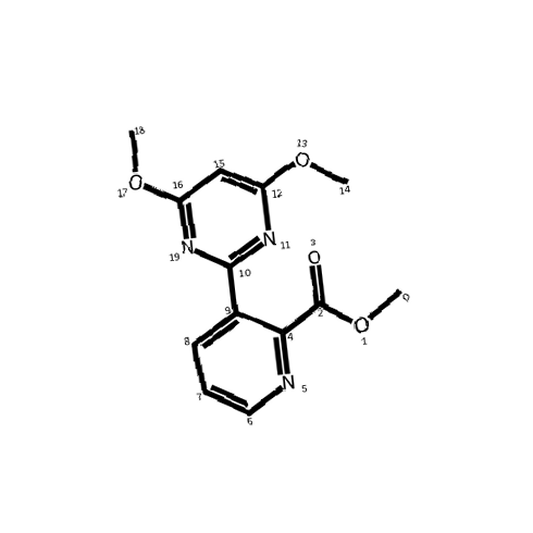 COC(=O)c1ncccc1-c1nc(OC)cc(OC)n1